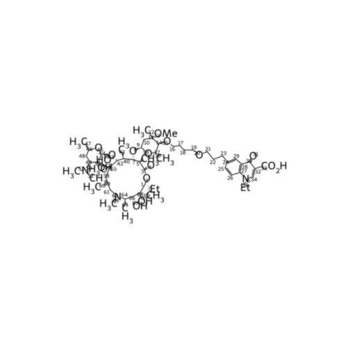 CC[C@H]1OC(=O)[C@H](C)[C@@H](O[C@H]2C[C@@](C)(OC)[C@@H](OCCCCOCCCc3ccc4c(c3)c(=O)c(C(=O)O)cn4CC)[C@H](C)O2)[C@H](C)[C@@H](O[C@@H]2O[C@H](C)C[C@H](N(C)C)[C@H]2O)[C@](C)(O)C[C@@H](C)CN(C)[C@H](C)[C@@H](O)[C@]1(C)O